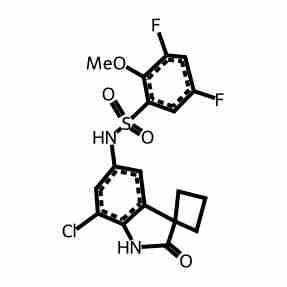 COc1c(F)cc(F)cc1S(=O)(=O)Nc1cc(Cl)c2c(c1)C1(CCC1)C(=O)N2